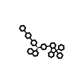 c1ccc(-c2ccc(-c3ccc(N(c4ccc(-c5cccc6c5-c5ccccc5C6(c5ccccc5)c5ccccc5)cc4)c4cccc5ccccc45)cc3)cc2)cc1